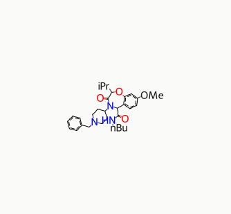 CCCCNC(=O)C1c2ccc(OC)cc2OC(C(C)C)C(=O)N1C1CCN(Cc2ccccc2)CC1